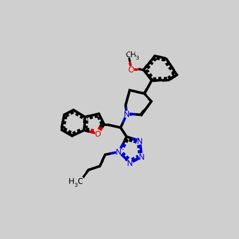 CCCCn1nnnc1C(c1cc2ccccc2o1)N1CCC(c2ccccc2OC)CC1